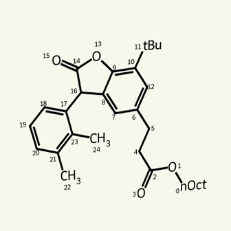 CCCCCCCCOC(=O)CCc1cc2c(c(C(C)(C)C)c1)OC(=O)C2c1cccc(C)c1C